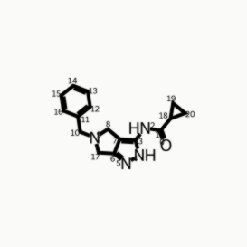 O=C(Nc1[nH]nc2c1CN(Cc1ccccc1)C2)C1CC1